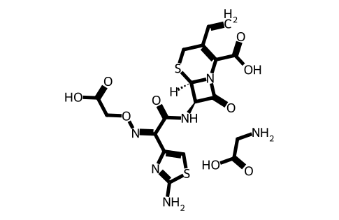 C=CC1=C(C(=O)O)N2C(=O)[C@@H](NC(=O)/C(=N\OCC(=O)O)c3csc(N)n3)[C@H]2SC1.NCC(=O)O